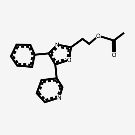 CC(=O)OCCc1nc(-c2ccccc2)c(-c2cccnc2)o1